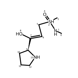 CN[SH](C)(=O)CC=C(O)[C@@H]1CCCN1